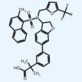 Cc1ccc2ccccc2c1S(=O)(=O)N(Cc1ccc(C(F)(F)F)o1)C1COc2cc(-c3cccc(C(C)(C)C(=O)O)c3)ccc21